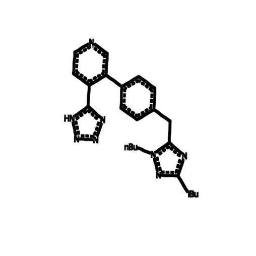 CCCCn1nc(C(C)CC)nc1Cc1ccc(-c2cnccc2-c2nnn[nH]2)cc1